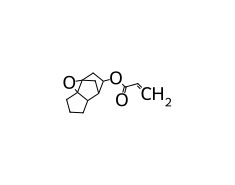 C=CC(=O)OC1CC23CC1C1CCCC12O3